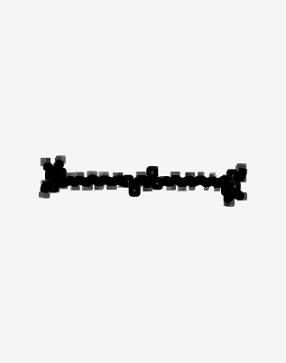 CCO[Si](CCCCCCCCC/C=C/OC(=O)/C=C/C(=O)O/C=C/CCCCCCCCC[Si](OCC)(OCC)OCC)(OCC)OCC